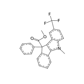 COC(=O)C1(c2ccccc2)c2ccccc2-c2c1c1cc(C(F)(F)F)ccc1n2C